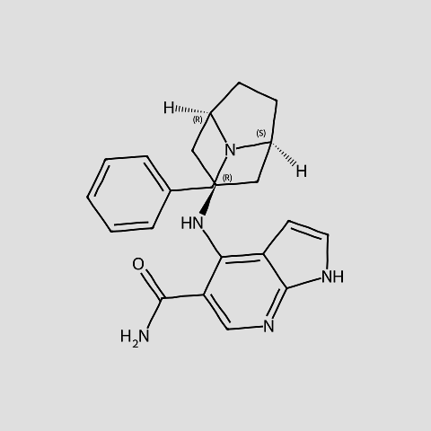 NC(=O)c1cnc2[nH]ccc2c1N[C@H]1C[C@H]2CC[C@@H](C1)N2Cc1ccccc1